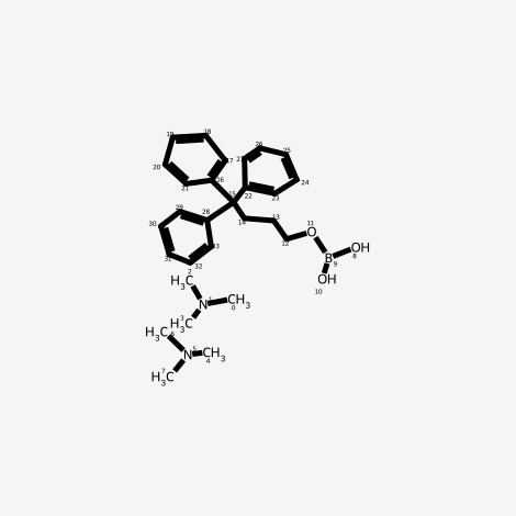 CN(C)C.CN(C)C.OB(O)OCCCC(c1ccccc1)(c1ccccc1)c1ccccc1